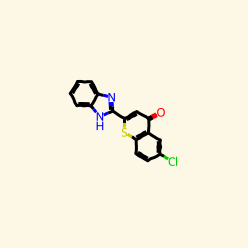 O=c1cc(-c2nc3ccccc3[nH]2)sc2ccc(Cl)cc12